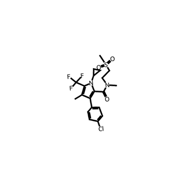 Cc1c(-c2ccc(Cl)cc2)c(C(=O)N(C)CCS(C)(=O)=O)n(C2CC2)c1C(F)(F)F